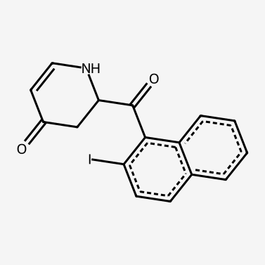 O=C1C=CNC(C(=O)c2c(I)ccc3ccccc23)C1